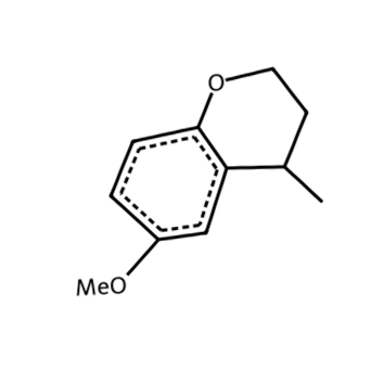 COc1ccc2c(c1)C(C)CCO2